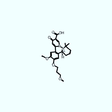 COCCCOc1cc2c(cc1OC)-c1cc(=O)c(C(=O)O)cn1N1[C@@H]2CCCC1(C)C